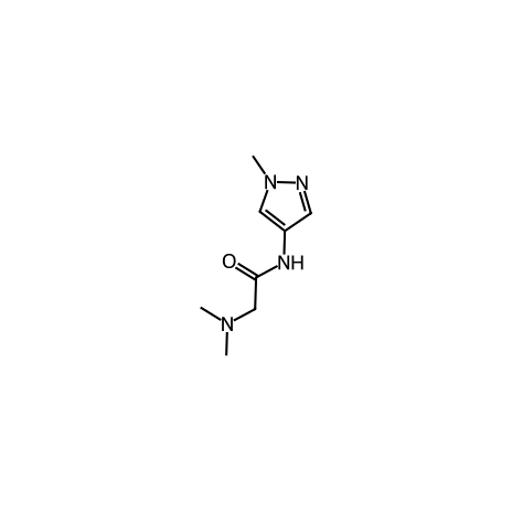 CN(C)CC(=O)Nc1cnn(C)c1